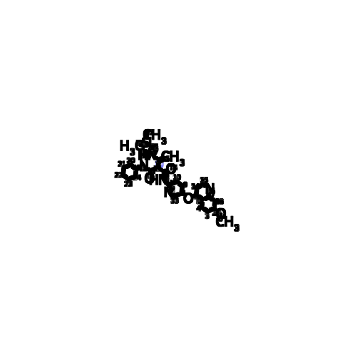 COc1ccc2c(Oc3ccc(NC(=O)/C(C(=O)Nc4ccccc4)=C(\C)NC[SiH](C)C)nc3)ccnc2c1